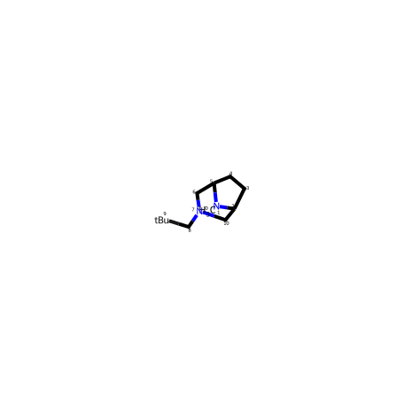 CN1C2CCC1CN(CC(C)(C)C)C2